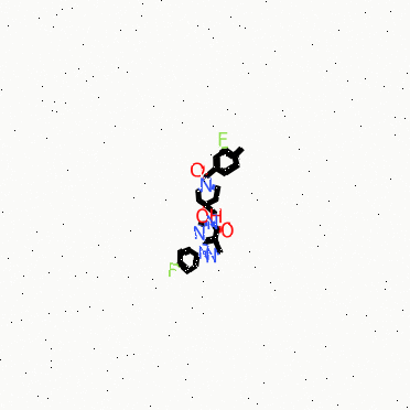 Cc1ccc(C(=O)N2CCC(O)(Cn3cnc4c(cnn4-c4ccc(F)cc4)c3=O)CC2)cc1F